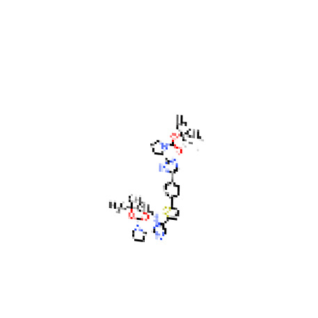 CC(C)(C)OC(=O)N1CCC[C@H]1c1ncc(-c2ccc(-c3ccc(-c4cnc([C@@H]5CCCN5C(=O)OC(C)(C)C)[nH]4)s3)cc2)[nH]1